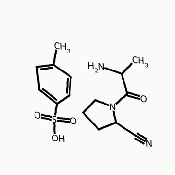 CC(N)C(=O)N1CCCC1C#N.Cc1ccc(S(=O)(=O)O)cc1